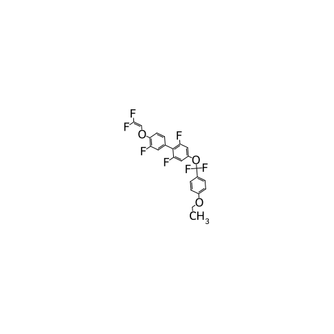 CCOc1ccc(C(F)(F)Oc2cc(F)c(-c3ccc(OC=C(F)F)c(F)c3)c(F)c2)cc1